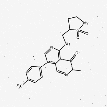 CC1N=Cc2c(-c3ccc(C(F)(F)F)cc3)cnc(NCC3CCNS3(=O)=O)c2C1=O